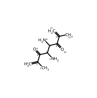 C=C(C)C(=O)C(N)C(N)C(=O)C(=C)C